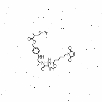 CC(C)SCC(C)C(=O)OCc1ccc(NC[C@H](C)NC(=O)[C@@H](NC(=O)CCCCCN2C(=O)C=CC2=O)C(C)C)cc1